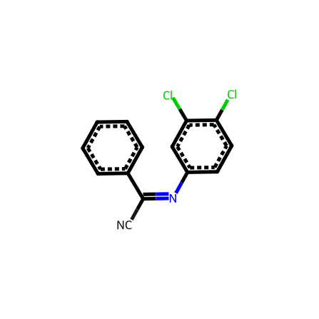 N#CC(=Nc1ccc(Cl)c(Cl)c1)c1ccccc1